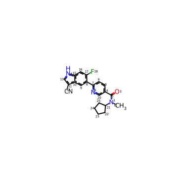 CN(C(=O)c1ccc(-c2cc3c(C#N)c[nH]c3cc2F)nc1)C1CCCC1